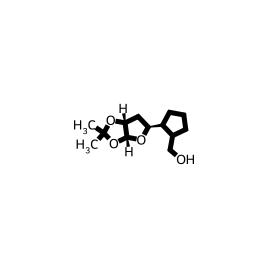 CC1(C)O[C@H]2O[C@H](C3CCCC3CO)C[C@H]2O1